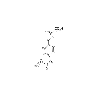 C=C(CCc1ccc(OC(C)OCCCC)cc1)C(=O)O